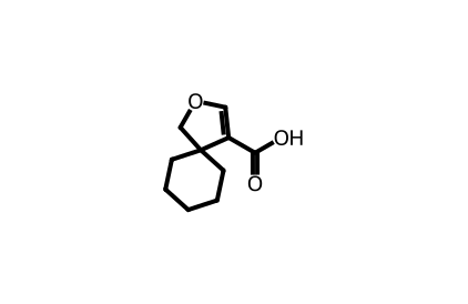 O=C(O)C1=COCC12CCCCC2